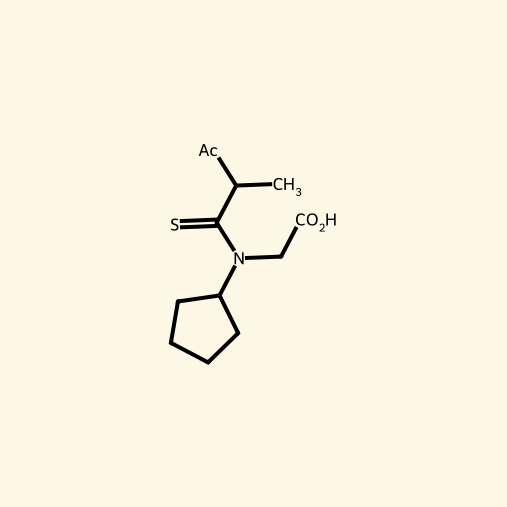 CC(=O)C(C)C(=S)N(CC(=O)O)C1CCCC1